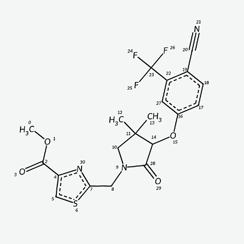 COC(=O)c1csc(CN2CC(C)(C)C(Oc3ccc(C#N)c(C(F)(F)F)c3)C2=O)n1